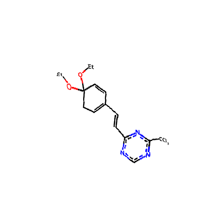 CCOC1(OCC)C=CC(C=Cc2ncnc(C(Cl)(Cl)Cl)n2)=CC1